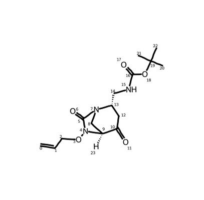 C=CCON1C(=O)N2C[C@H]1C(=O)C[C@H]2CNC(=O)OC(C)(C)C